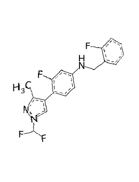 Cc1nn(C(F)F)cc1-c1ccc(NCc2ccccc2F)cc1F